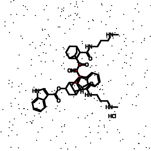 CNCCCNC(=O)C1C2CCC(C(OC(=O)c3c[nH]c4ccccc34)C2)C1C(=O)NC(=O)C1C2CCC(CC2OC(=O)c2c[nH]c3ccccc23)C1C(=O)NCCCNC.Cl